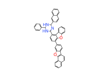 c1ccc(C2NC(c3ccc(-c4ccc5c(c4)oc4c6ccccc6ccc54)c4oc5ccccc5c34)=NC(c3ccc4ccccc4c3)N2)cc1